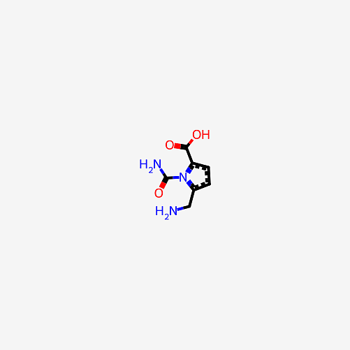 NCc1ccc(C(=O)O)n1C(N)=O